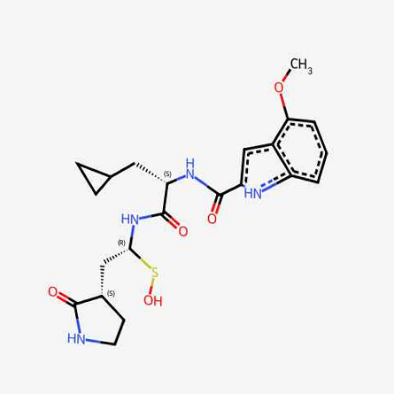 COc1cccc2[nH]c(C(=O)N[C@@H](CC3CC3)C(=O)N[C@@H](C[C@@H]3CCNC3=O)SO)cc12